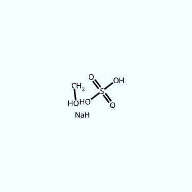 CO.O=S(=O)(O)O.[NaH]